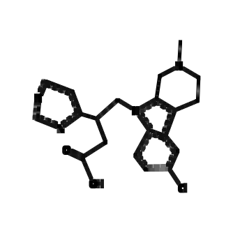 CN1CCc2c(n(CC(CC(=O)O)c3ccncn3)c3ccc(Cl)cc23)C1